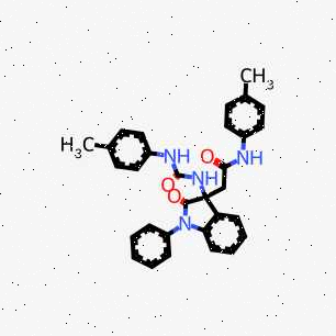 Cc1ccc(NC(=O)CC2(NC(=O)Nc3ccc(C)cc3)C(=O)N(c3ccccc3)c3ccccc32)cc1